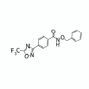 O=C(NOCc1ccccc1)c1ccc(-c2noc(C(F)(F)F)n2)cc1